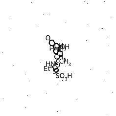 CC[C@H](NC(=O)C[C@@H](C)C1CC[C@H]2C3[C@H](O)CC4CC(=O)CCC4(C)[C@H]3CCC12C)c1ccc(S(=O)(=O)O)s1